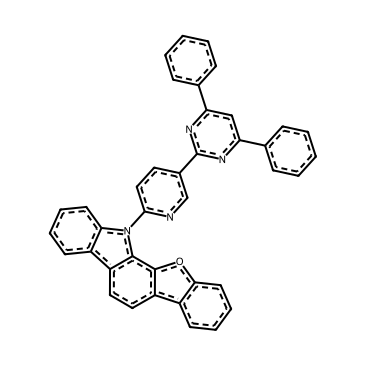 c1ccc(-c2cc(-c3ccccc3)nc(-c3ccc(-n4c5ccccc5c5ccc6c7ccccc7oc6c54)nc3)n2)cc1